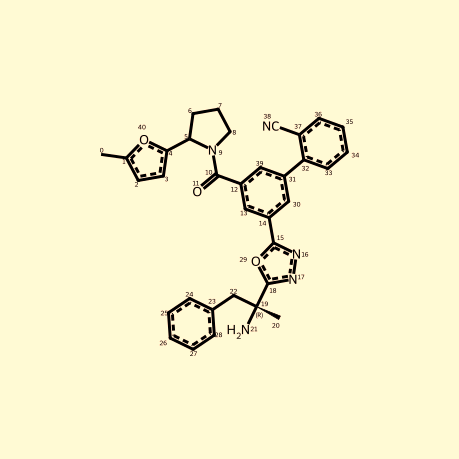 Cc1ccc(C2CCCN2C(=O)c2cc(-c3nnc([C@](C)(N)Cc4ccccc4)o3)cc(-c3ccccc3C#N)c2)o1